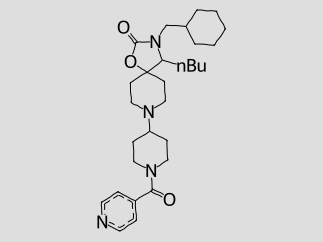 CCCCC1N(CC2CCCCC2)C(=O)OC12CCN(C1CCN(C(=O)c3ccncc3)CC1)CC2